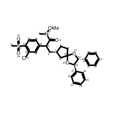 CON(C)C(=O)C(C[C@H]1CCC2(C1)O[C@H](c1ccccc1)[C@@H](c1ccccc1)O2)c1ccc(S(C)(=O)=O)c(Cl)c1